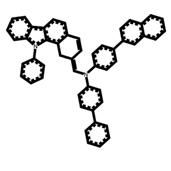 C1=Cc2ccc3c4ccccc4n(-c4ccccc4)c3c2C/C1=C/N(c1ccc(-c2ccccc2)cc1)c1ccc(-c2ccc3ccccc3c2)cc1